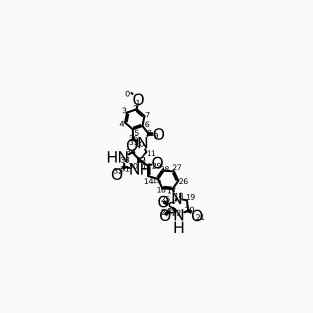 COc1ccc2c(c1)C(=O)N(C[C@@]1(c3cc4cc(N5CC(=O)NS5(=O)=O)ccc4o3)NC(=O)NC1=O)C2